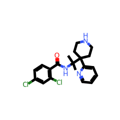 CC(C)(NC(=O)c1ccc(Cl)cc1Cl)C1(c2ccccn2)CCNCC1